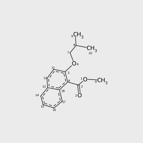 COC(=O)c1c(OCC(C)C)ccc2ccccc12